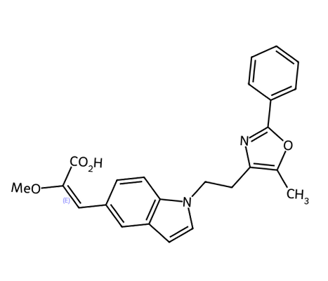 CO/C(=C/c1ccc2c(ccn2CCc2nc(-c3ccccc3)oc2C)c1)C(=O)O